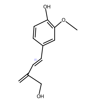 C=C(/C=C/c1ccc(O)c(OC)c1)CO